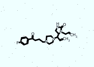 C=CCN1C(=O)NCC1C(C=C)N1CCN(CCCC(=O)c2ccc(F)cc2)CC1